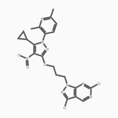 Cc1ccc(-n2nc(OCCCn3nc(Cl)c4cnc(Cl)nc43)c([N+](=O)[O-])c2C2CC2)c(C)n1